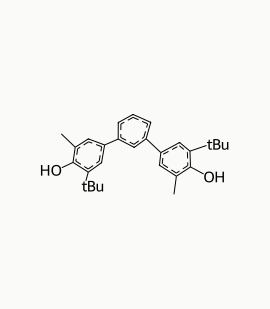 Cc1cc(-c2cccc(-c3cc(C)c(O)c(C(C)(C)C)c3)c2)cc(C(C)(C)C)c1O